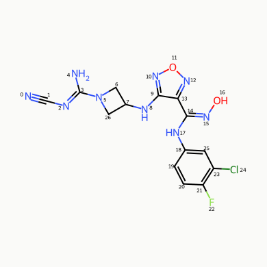 N#CN=C(N)N1CC(Nc2nonc2C(=NO)Nc2ccc(F)c(Cl)c2)C1